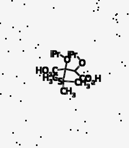 CC(C)OC(C(=O)O)C(OC(C)C)(C(=O)O)[Si](C)(C)C